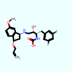 C=CCO[C@H]1C[C@@H](NC[C@H](O)[C@H](Cc2cc(F)cc(F)c2)NC(=O)O)c2cc(OC)ccc21